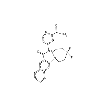 NC(=O)c1cc(NC(=O)c2cc3cccnc3cc2N2CCCC(F)(F)CC2)ccn1